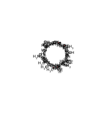 CCCC[C@H]1C(=O)N(C)[C@@H](CCCC)C(=O)N[C@@H](CC(C)C)C(=O)N[C@H](C(=O)NCC(N)=O)CSCC(=O)N[C@@H](Cc2ccc(O)cc2)C(=O)N(C)[C@@H](C)C(=O)NC(C)(C)C(=O)N2CCC[C@H]2C(=O)N[C@@H](CC)C(=O)N[C@@H](CC(C)C)C(=O)N2C[C@H](O)C[C@H]2C(=O)NC(Cc2c[nH]c3ccccc23)C(=O)N[C@@H](CCN)C(=O)N[C@@H](Cc2c[nH]c3ccccc23)C(=O)N1C